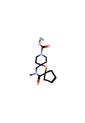 CN1CC2(CCN(C(=O)OC(C)(C)C)CC2)OC2(CCCC2)C1=O